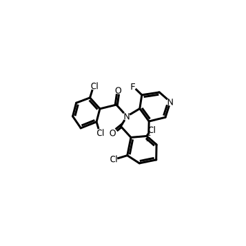 O=C(c1c(Cl)cccc1Cl)N(C(=O)c1c(Cl)cccc1Cl)c1c(F)cncc1F